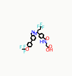 O=C(O)CCNC(=O)c1ccc(C(CCC(F)(F)F)n2ncc3cc(-c4ccc(OC(F)(F)CF)cc4)ccc32)cc1